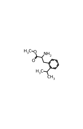 COC(=O)C(N)Cc1ccccc1C(C)C